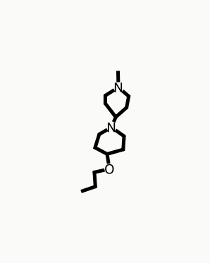 CCCOC1CCN(C2CCN(C)CC2)CC1